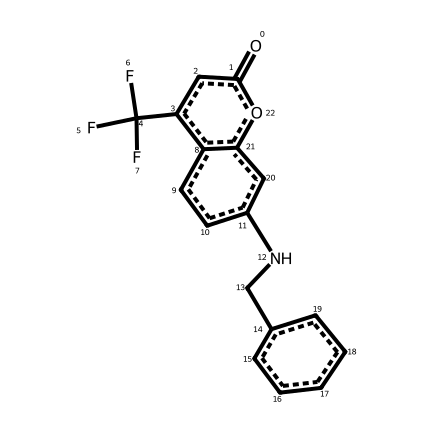 O=c1cc(C(F)(F)F)c2ccc(NCc3ccccc3)cc2o1